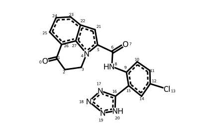 O=C1CCn2c(C(=O)Nc3ccc(Cl)cc3-c3nnn[nH]3)cc3cccc1c32